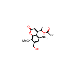 COc1c(CO)cc([N+](=O)[O-])c2c(C(C)OC(=O)C(C)C)cc(=O)oc12